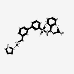 O=C(O)C[C@@H](NS(=O)(=O)c1cccc(-c2cccc(CNC[C@@H]3CCCO3)c2)c1)c1ccccc1